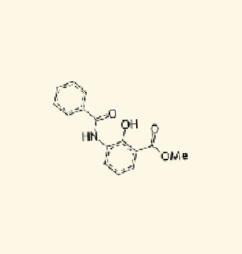 COC(=O)c1cccc(NC(=O)c2ccccc2)c1O